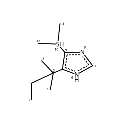 CCC(C)(C)c1[nH]cnc1[SH](C)C